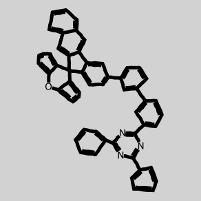 c1ccc(-c2nc(-c3ccccc3)nc(-c3cccc(-c4cccc(-c5ccc6c(c5)-c5cc7ccccc7cc5C65c6ccccc6Oc6ccccc65)c4)c3)n2)cc1